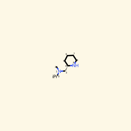 CC(C)N(C)C[C@@H]1CCCCN1